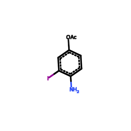 CC(=O)Oc1ccc(N)c(I)c1